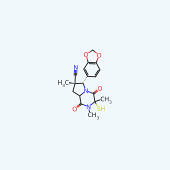 CN1C(=O)C2C[C@](C)(C#N)[C@H](c3ccc4c(c3)OCO4)N2C(=O)C1(C)S